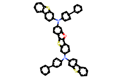 c1ccc(-c2ccc(N(c3ccc4c(c3)oc3c5ccc(N(c6ccc(-c7ccccc7)cc6)c6ccc7c(c6)sc6ccccc67)cc5sc43)c3ccc4c(c3)sc3ccccc34)cc2)cc1